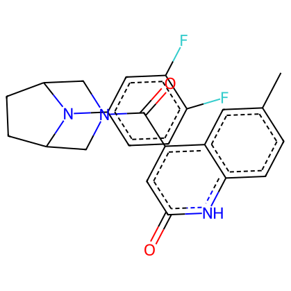 Cc1ccc2[nH]c(=O)cc(C(=O)N3CC4CCC(C3)N4c3ccc(F)c(F)c3)c2c1